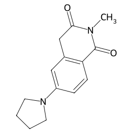 CN1C(=O)Cc2cc(N3CCCC3)ccc2C1=O